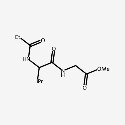 CCC(=O)NC(C(=O)NCC(=O)OC)C(C)C